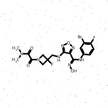 CN(C)C(=O)C(=O)N1CC(F)(CNc2nonc2/C(=N/O)Nc2ccc(F)c(Br)c2)C1